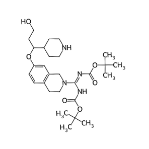 CC(C)(C)OC(=O)N=C(NC(=O)OC(C)(C)C)N1CCc2ccc(OC(CCO)C3CCNCC3)cc2C1